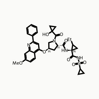 CCC1C[C@]1(NC(=O)[C@@H]1C[C@@H](Oc2cc(-c3ccccc3)nc3cc(OC)ccc23)CN1C(=O)C1(O)CC1)C(=O)NS(=O)(=O)C1CC1